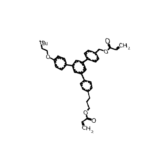 C=CC(=O)OCCCc1ccc(-c2cc(-c3ccc(COC(=O)C=C)cc3)cc(-c3ccc(OCCC(C)(C)C)cc3)c2)cc1